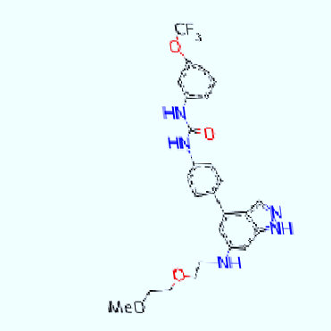 COCCOCCNc1cc(-c2ccc(NC(=O)Nc3cccc(OC(F)(F)F)c3)cc2)c2cn[nH]c2c1